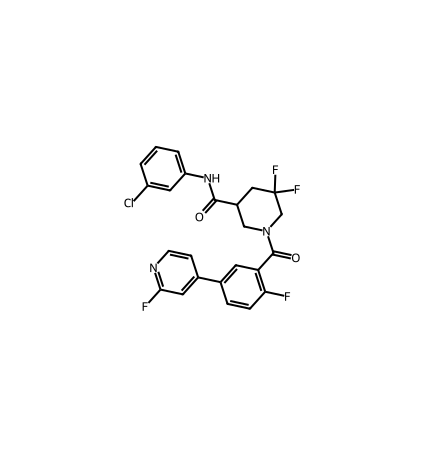 O=C(Nc1cccc(Cl)c1)C1CN(C(=O)c2cc(-c3ccnc(F)c3)ccc2F)CC(F)(F)C1